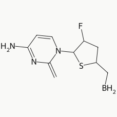 BCC1CC(F)C(N2C=CC(N)=NC2=C)S1